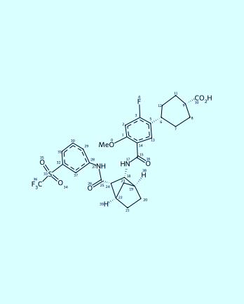 COc1cc(F)c([C@H]2CC[C@@H](C(=O)O)CC2)cc1C(=O)N[C@@H]1[C@H]2CC[C@H](C2)[C@@H]1C(=O)Nc1cccc(S(=O)(=O)C(F)(F)F)c1